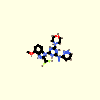 COc1cccc2c1nc(C(F)F)n2-c1nc(Nc2cccnn2)nc(N2CCOCC2)n1